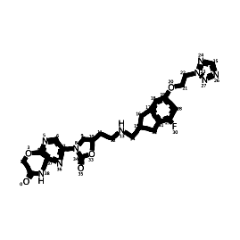 O=C1COc2ncc(N3CC(CCNCC4Cc5cc(OCCn6ncnn6)cc(F)c5C4)OC3=O)nc2N1